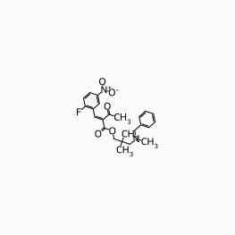 CC(=O)C(=Cc1cc([N+](=O)[O-])ccc1F)C(=O)OCC(C)(C)CN(C)Cc1ccccc1